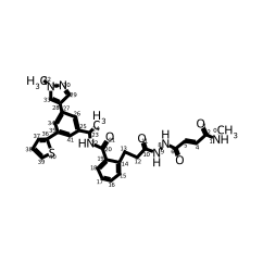 CNC(=O)/C=C/C(=O)NNC(=O)CCc1ccccc1C(=O)NC(C)c1cc(-c2cnn(C)c2)cc(-c2cccs2)c1